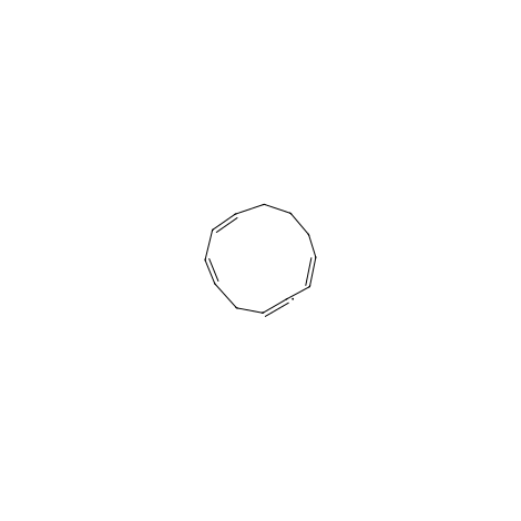 [C]1=CCC=CC=CCCCC=C1